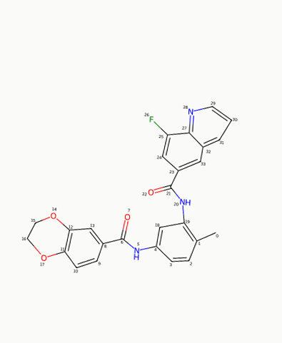 Cc1ccc(NC(=O)c2ccc3c(c2)OCCO3)cc1NC(=O)c1cc(F)c2ncccc2c1